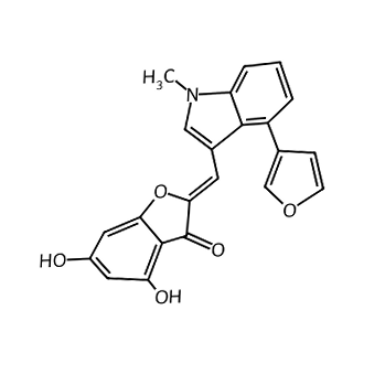 Cn1cc(C=C2Oc3cc(O)cc(O)c3C2=O)c2c(-c3ccoc3)cccc21